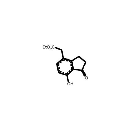 CCOC(=O)Cc1ccc(O)c2c1CCC2=O